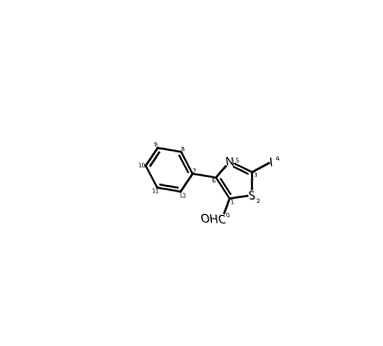 O=Cc1sc(I)nc1-c1ccccc1